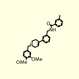 COc1ccc(CN2CC=C(c3cccc(CNC(=O)c4cccc(C)c4)c3)CC2)cc1OC